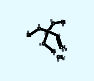 C=C[Si](OCC)(OCC)OCC.[CH3]